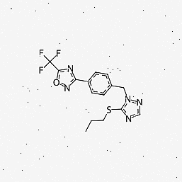 CCCSc1ncnn1Cc1ccc(-c2noc(C(F)(F)F)n2)cc1